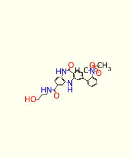 CN(c1ccccc1-c1ccc2c(c1)Nc1cc(C(=O)NCCCO)ccc1NC2=O)S(C)(=O)=O